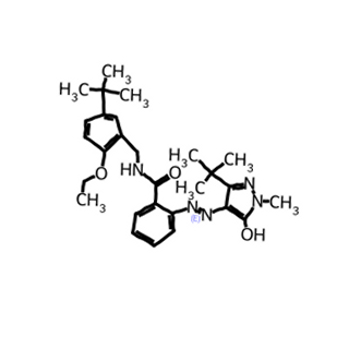 CCOc1ccc(C(C)(C)C)cc1CNC(=O)c1ccccc1/N=N/c1c(C(C)(C)C)nn(C)c1O